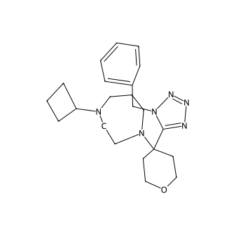 c1ccc(Cn2nnnc2C2(N3CCCN(C4CCC4)CC3)CCOCC2)cc1